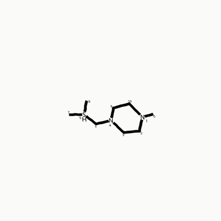 CN1CCN(C[SH](C)C)CC1